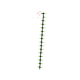 FC(F)(F)O[Si](OC(F)(F)F)(OC(F)(F)F)C(F)(F)C(F)(F)C(F)(F)C(F)(F)C(F)(F)C(F)(F)C(F)(F)C(F)(F)C(F)(F)C(F)(F)C(F)(F)C(F)(F)C(F)(F)C(F)(F)C(F)(F)C(F)(F)C(F)(F)F